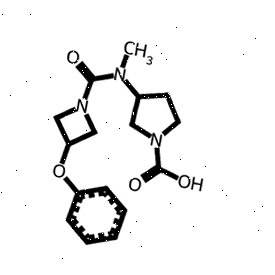 CN(C(=O)N1CC(Oc2ccccc2)C1)C1CCN(C(=O)O)C1